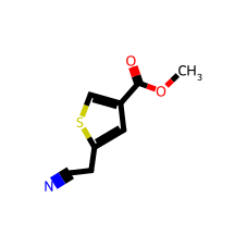 COC(=O)c1csc(CC#N)c1